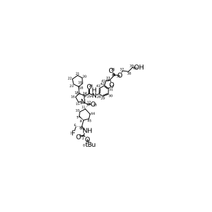 CC(C)(C)OC(=O)N[C@H](CF)[C@H]1CC[C@H](C(=O)N2CC[C@@H](C3CCCCC3)[C@H]2C(=O)Nc2ccc3oc(C(=O)OCCCO)cc3c2)CC1